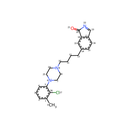 Cc1cccc(N2CCN(CCCCc3ccc4c(c3)C(=O)N=C4)CC2)c1Cl